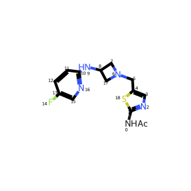 CC(=O)Nc1ncc(CN2CC(Nc3ccc(F)cn3)C2)s1